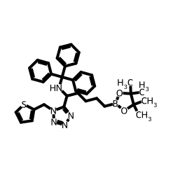 CC1(C)OB(CCCCC(NC(c2ccccc2)(c2ccccc2)c2ccccc2)c2nnnn2Cc2cccs2)OC1(C)C